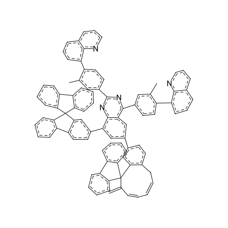 C=C1/C=C\C=C/Cc2ccc(-c3cc(-c4ccc5c(c4)C4(c6ccccc6-c6ccccc64)c4ccccc4-5)c4nc(-c5ccc(-c6cccc7cccnc67)c(C)c5)nc(-c5ccc(-c6cccc7cccnc67)c(C)c5)c4c3)cc2C12c1ccccc1-c1ccccc12